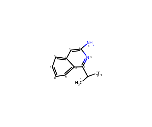 CC(c1nc(N)cc2ccccc12)C(F)(F)F